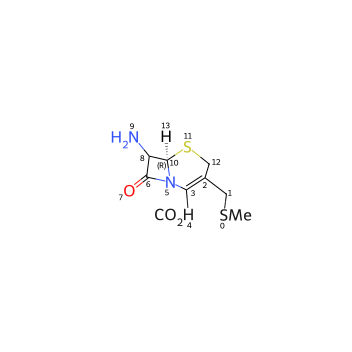 CSCC1=C(C(=O)O)N2C(=O)C(N)[C@H]2SC1